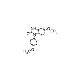 COc1ccc(N(C(N)=O)c2ccc(OC)cc2)cc1